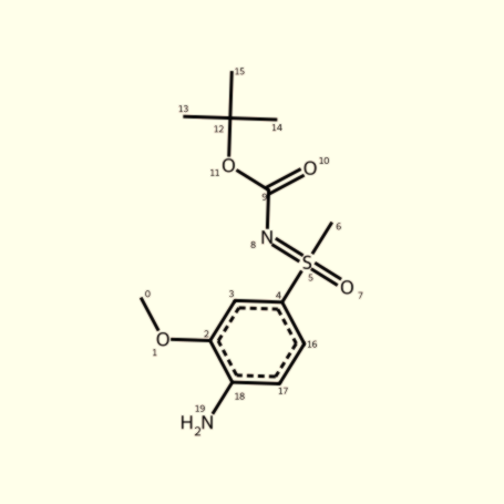 COc1cc(S(C)(=O)=NC(=O)OC(C)(C)C)ccc1N